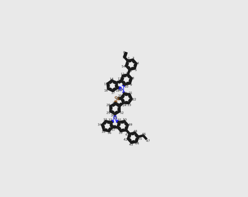 C=Cc1cccc(-c2ccc3c(c2)c2ccccc2n3-c2cccc3c2sc2ccc(-n4c5ccccc5c5cc(-c6cccc(CC)c6)ccc54)cc23)c1